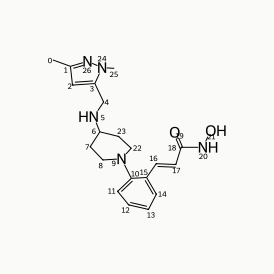 Cc1cc(CNC2CCN(c3ccccc3/C=C/C(=O)NO)CC2)n(C)n1